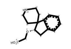 O=C(O)CO[C@H]1Cc2ccccc2C12CCNCC2